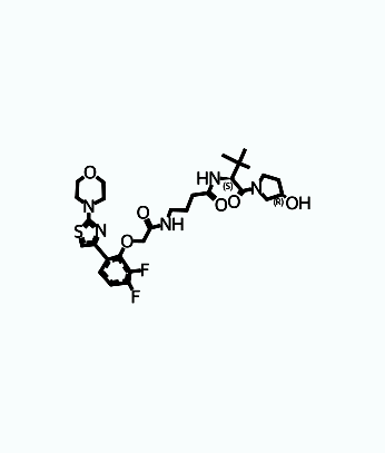 CC(C)(C)[C@H](NC(=O)CCCNC(=O)COc1c(-c2csc(N3CCOCC3)n2)ccc(F)c1F)C(=O)N1CC[C@@H](O)C1